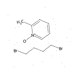 BrCCCCBr.Cc1cccc[n+]1[O-]